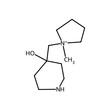 C[N+]1(CC2(O)CCNCC2)CCCC1